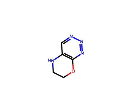 c1nnnc2c1NCCO2